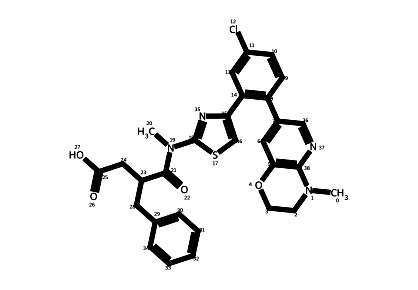 CN1CCOc2cc(-c3ccc(Cl)cc3-c3csc(N(C)C(=O)C(CC(=O)O)Cc4ccccc4)n3)cnc21